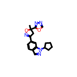 CC1(c2nnco2)CC(c2ccc3cnn(C4CCCC4)c3c2)=NO1